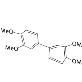 COc1ccc(-c2ccc(OC)c(OC)c2)cc1OC